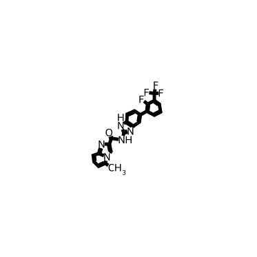 Cc1cccc2nc(C(=O)Nc3nc4cc(-c5cccc(C(F)(F)F)c5F)ccc4[nH]3)cn12